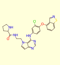 O=C(NCCn1ccc2ncnc(Nc3ccc(Oc4cccc5sncc45)c(Cl)c3)c21)C1CCCN1